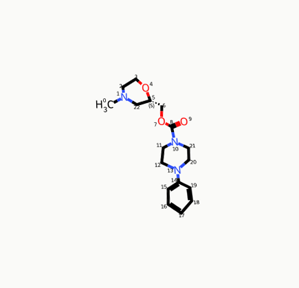 CN1CCO[C@H](COC(=O)N2CCN(c3ccccc3)CC2)C1